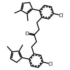 CC1=CCC(c2ccc(Cl)cc2CCC(=O)CCc2cc(Cl)ccc2C2=C(C)C(C)=CC2)=C1C